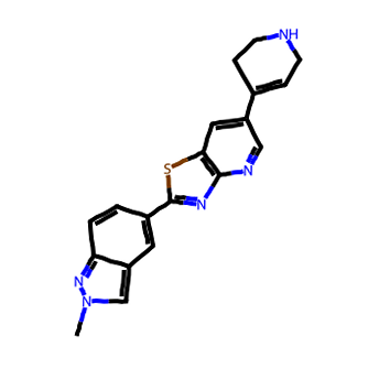 Cn1cc2cc(-c3nc4ncc(C5=CCNCC5)cc4s3)ccc2n1